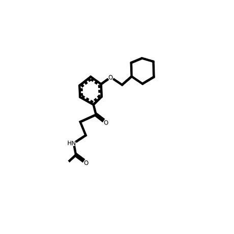 CC(=O)NCCC(=O)c1cccc(OCC2CCCCC2)c1